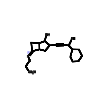 O=C(O)CO/N=C1/CC2C1CC(C#CC(O)C1CCCCC1)C2O